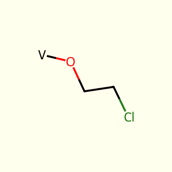 ClCC[O][V]